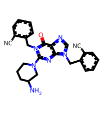 N#Cc1ccccc1Cn1c(N2CCCC(N)C2)nc2c(ncn2Cc2ccccc2C#N)c1=O